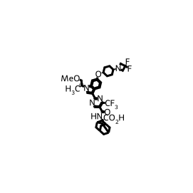 COC[C@@H](C)n1cc(-c2ncc(C(=O)NC3(C(=O)O)C4CC5CC(C4)CC3C5)c(C(F)(F)F)n2)c2ccc(O[C@H]3CC[C@H](N4CC(F)(F)C4)CC3)cc21